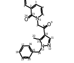 C=Cc1cccn(CC(=O)c2cnn(Cc3ccccc3)c2C)c1=O